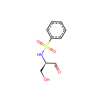 O=[C][C@@H](CO)NS(=O)(=O)c1ccccc1